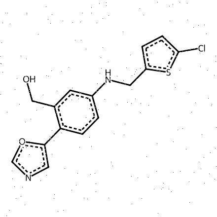 OCc1cc(NCc2ccc(Cl)s2)ccc1-c1cnco1